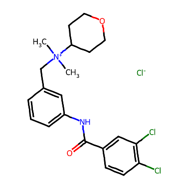 C[N+](C)(Cc1cccc(NC(=O)c2ccc(Cl)c(Cl)c2)c1)C1CCOCC1.[Cl-]